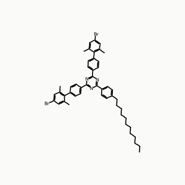 CCCCCCCCCCCCc1ccc(-c2nc(-c3ccc(-c4c(C)cc(Br)cc4C)cc3)nc(-c3ccc(-c4c(C)cc(Br)cc4C)cc3)n2)cc1